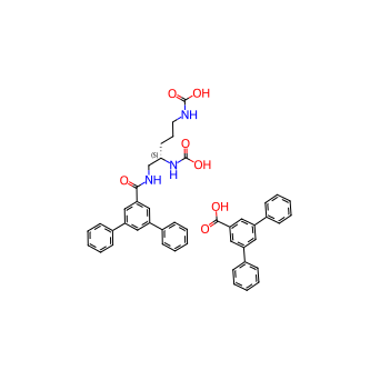 O=C(O)NCCC[C@@H](CNC(=O)c1cc(-c2ccccc2)cc(-c2ccccc2)c1)NC(=O)O.O=C(O)c1cc(-c2ccccc2)cc(-c2ccccc2)c1